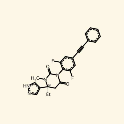 CC[C@@]1(c2cn[nH]c2)CC(=O)N(c2c(F)cc(C#Cc3ccccc3)cc2F)C(=O)N1C